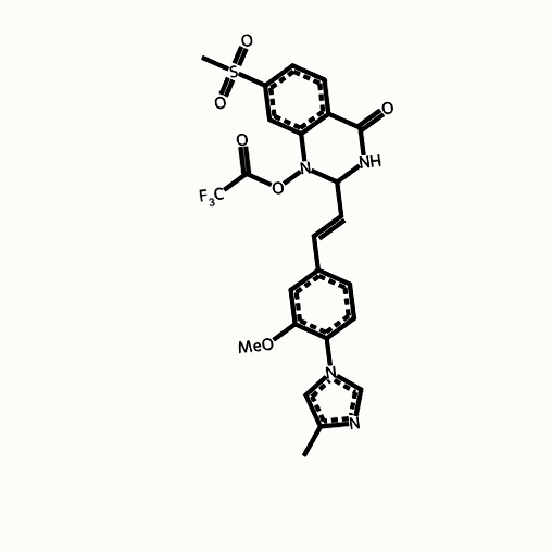 COc1cc(C=CC2NC(=O)c3ccc(S(C)(=O)=O)cc3N2OC(=O)C(F)(F)F)ccc1-n1cnc(C)c1